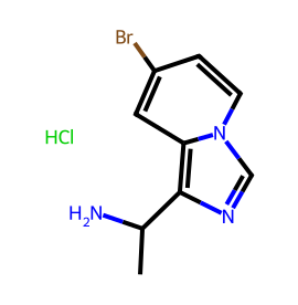 CC(N)c1ncn2ccc(Br)cc12.Cl